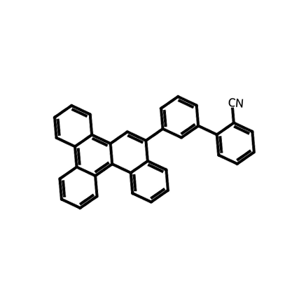 N#Cc1ccccc1-c1cccc(-c2cc3c4ccccc4c4ccccc4c3c3ccccc23)c1